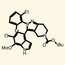 CCc1cccc(CC)c1-n1nc2c(c1-c1cc(Cl)c(OC)c3[nH]ccc13)CN(C(=O)OC(C)(C)C)CC2